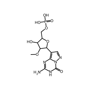 COC1C(c2cnn3c(=O)[nH]c(N)nc23)OC(COP(=O)(O)O)C1O